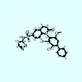 COc1cc(-c2ccccc2)c(Cl)c(F)c1-n1c(=O)ccc2cc(S(=O)(=O)Nc3nncs3)ccc21